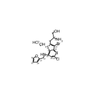 Cl.Cl.NC(CO)Cc1sc2c(NCc3ccco3)cc(Cl)nc2c1Br